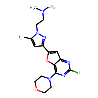 Cc1cc(-c2cc3nc(Cl)nc(N4CCOCC4)c3o2)nn1CCN(C)C